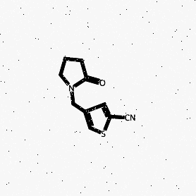 N#Cc1cc(CN2CC[CH]C2=O)cs1